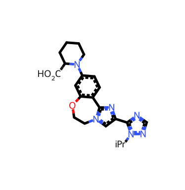 CC(C)n1ncnc1-c1cn2c(n1)-c1ccc(N3CCCCC3C(=O)O)cc1OCC2